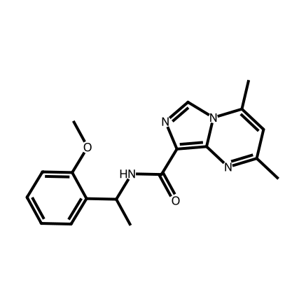 COc1ccccc1C(C)NC(=O)c1ncn2c(C)cc(C)nc12